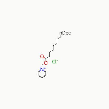 CCCCCCCCCCCCCCCCCC(=O)OC[n+]1ccccc1.[Cl-]